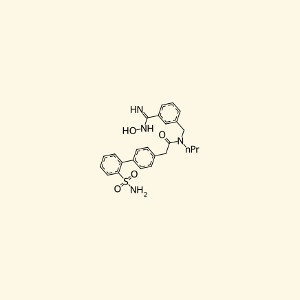 CCCN(Cc1cccc(C(=N)NO)c1)C(=O)Cc1ccc(-c2ccccc2S(N)(=O)=O)cc1